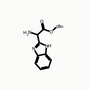 CC(C)(C)OC(=O)C(N)c1nc2ccccc2[nH]1